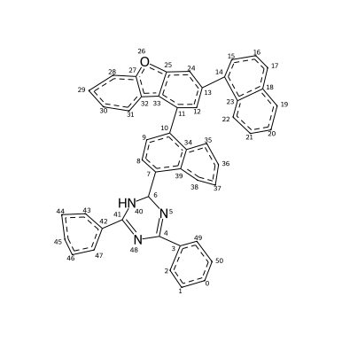 c1ccc(C2=NC(c3ccc(-c4cc(-c5cccc6ccccc56)cc5oc6ccccc6c45)c4ccccc34)NC(c3ccccc3)=N2)cc1